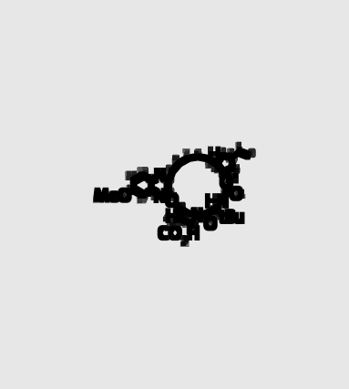 C=C[C@@H]1C[C@H]2CCCCCc3nc4ccc(OC)cc4nc3O[C@H]3CN(C(=O)[C@H](C(C)(C)C)NC(=O)O[C@@H]2C1)[C@H](C(=O)O)[C@@H]3C